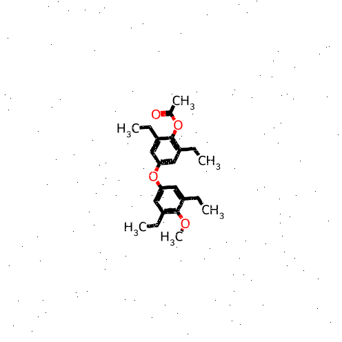 CCc1cc(Oc2cc(CC)c(OC(C)=O)c(CC)c2)cc(CC)c1OC